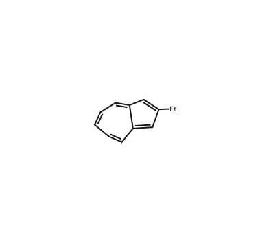 CCc1cc2[c]ccccc-2c1